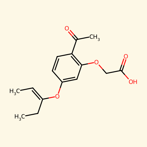 CC=C(CC)Oc1ccc(C(C)=O)c(OCC(=O)O)c1